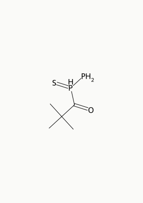 CC(C)(C)C(=O)[PH](P)=S